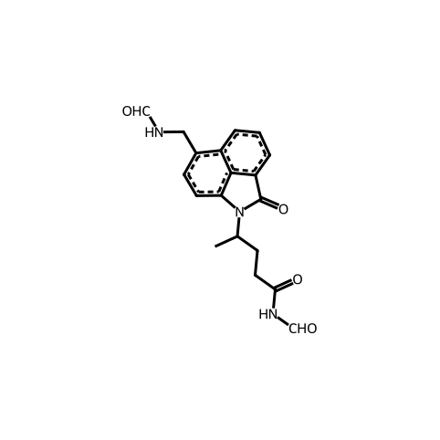 CC(CCC(=O)NC=O)N1C(=O)c2cccc3c(CNC=O)ccc1c23